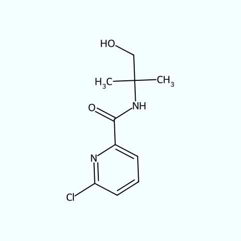 CC(C)(CO)NC(=O)c1cccc(Cl)n1